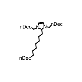 CCCCCCCCCCCCCCCCCC1N(CCCCCCCCCCC)C=CN1CCCCCCCCCCC